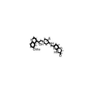 COc1ccc2nccc([C@@H](O)CN3CC[C@@H](NCc4ccc5c(n4)NC(=O)CO5)[C@@H](F)C3)c2c1